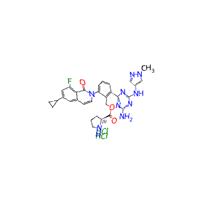 Cl.Cl.Cn1cc(Nc2nc(N)nc(-c3cccc(-n4ccc5cc(C6CC6)cc(F)c5c4=O)c3COC(=O)[C@@H]3CCCN3)n2)cn1